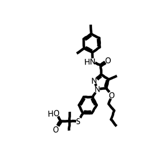 CCCCOc1c(C)c(C(=O)Nc2ccc(C)cc2C)nn1-c1ccc(SC(C)(C)C(=O)O)cc1